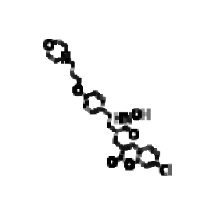 O=C(NO)C(CCc1ccc(OCCCN2CCOCC2)cc1)Cc1cc2ccc(Cl)cc2oc1=O